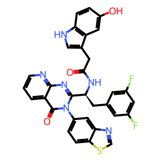 O=C(Cc1c[nH]c2ccc(O)cc12)N[C@@H](Cc1cc(F)cc(F)c1)c1nc2ncccc2c(=O)n1-c1ccc2scnc2c1